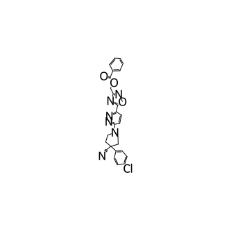 N#CC1(c2ccc(Cl)cc2)CCN(c2ccc(-c3nc(COC(=O)c4ccccc4)no3)nn2)CC1